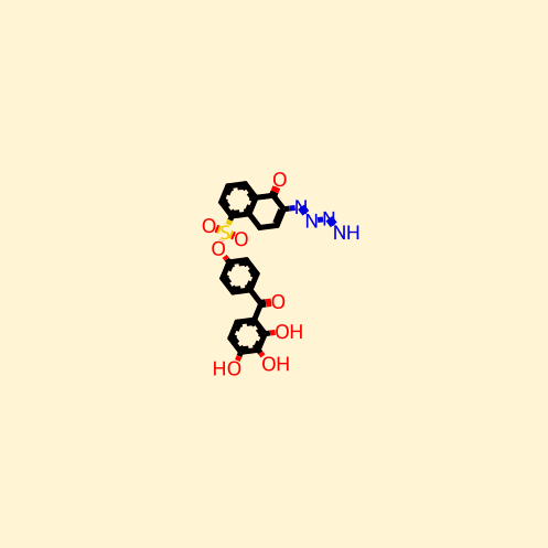 N=NN=NC1=CCc2c(cccc2S(=O)(=O)Oc2ccc(C(=O)c3ccc(O)c(O)c3O)cc2)C1=O